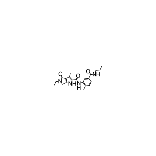 CCCNC(=O)c1ccc(C)c(NC(=O)c2[nH]c3c(c2C)C(=O)N(CC)C3)c1